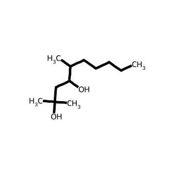 CCCCCC(C)C(O)CC(C)(C)O